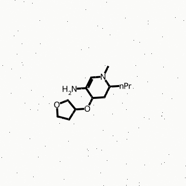 CCCC1CC(OC2CCOC2)C(N)=CN1C